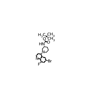 CC(C)(C)OC(=O)N[C@@H]1CCCN(c2ccnc3c(F)cc(Br)cc23)C1